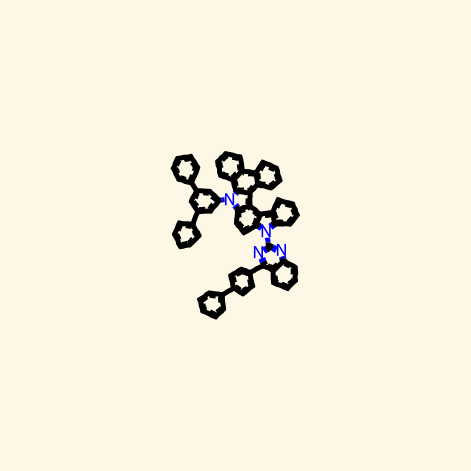 c1ccc(-c2ccc(-c3nc(-n4c5ccccc5c5c6c7c8ccccc8c8ccccc8c7n(-c7cc(-c8ccccc8)cc(-c8ccccc8)c7)c6ccc54)nc4ccccc34)cc2)cc1